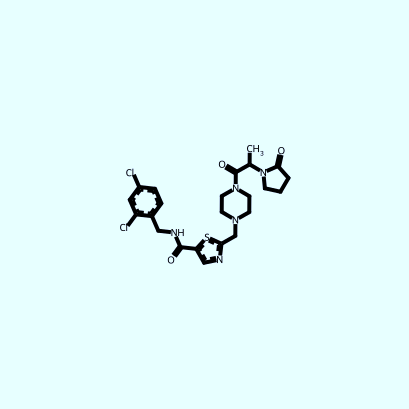 CC(C(=O)N1CCN(Cc2ncc(C(=O)NCc3ccc(Cl)cc3Cl)s2)CC1)N1CCCC1=O